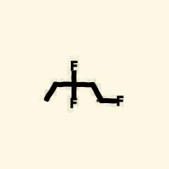 CCC(F)(F)C[CH]F